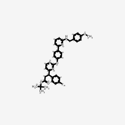 COc1ccc(CNc2cccc(-c3ccc(Oc4nccc(C(CC(=O)OC(C)(C)C)c5ccc(F)cc5)n4)cc3)n2)cc1